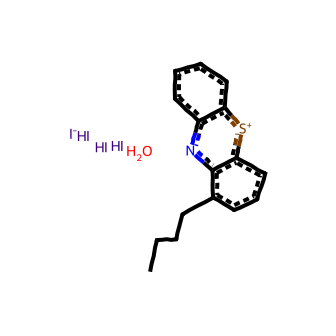 CCCCc1cccc2[s+]c3ccccc3nc12.I.I.I.O.[I-]